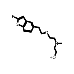 CN(CCO)CCOCCc1ccc2sc(F)cc2c1